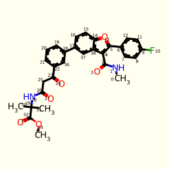 CNC(=O)c1c(-c2ccc(F)cc2)oc2ccc(-c3cccc(C(=O)CC(=O)NC(C)(C)C(=O)OC)c3)cc12